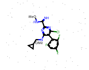 CONC(=N)c1nc(Cl)c(-c2c(F)cc(F)cc2F)c(N(CC2CC2)OC)n1